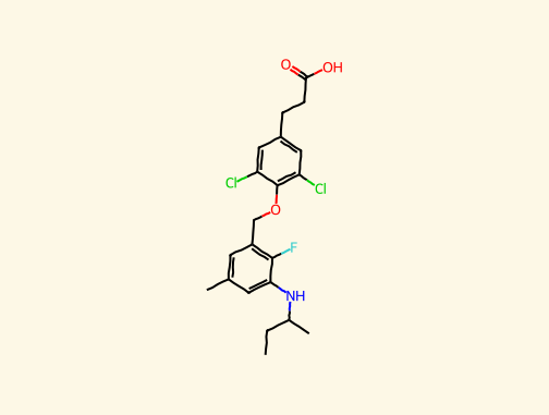 CCC(C)Nc1cc(C)cc(COc2c(Cl)cc(CCC(=O)O)cc2Cl)c1F